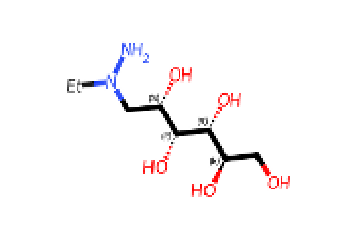 CCN(N)C[C@H](O)[C@@H](O)[C@H](O)[C@H](O)CO